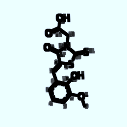 COc1cccc(/C=C2\SC(=S)N(CC(=O)O)C2=O)c1O